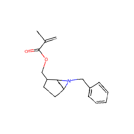 C=C(C)C(=O)OCC1CCC2C1N2Cc1ccccc1